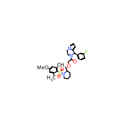 COc1cc(C)c(S(=O)(=O)N2CCCCC2COCC(=O)N2CCn3cccc3C2c2cccc(F)c2)c(C)c1